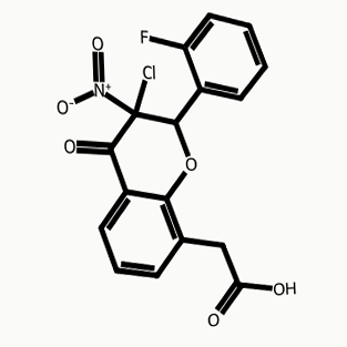 O=C(O)Cc1cccc2c1OC(c1ccccc1F)C(Cl)([N+](=O)[O-])C2=O